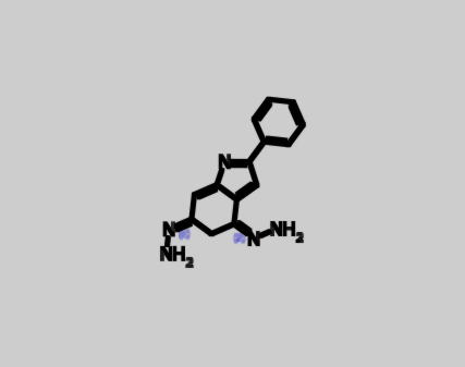 N/N=C1/C/C(=N\N)C=C2N=C(c3ccccc3)C=C21